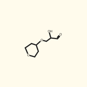 O=CC(O)COC1CCOCC1